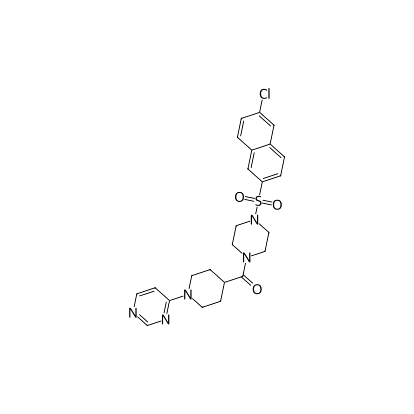 O=C(C1CCN(c2ccncn2)CC1)N1CCN(S(=O)(=O)c2ccc3cc(Cl)ccc3c2)CC1